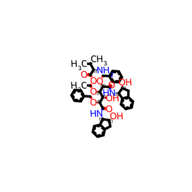 CC(OC(=O)[C@@H](N)C(C)C)O[C@H]([C@@H](O)[C@@H](OCc1ccccc1)C(=O)N[C@H]1c2ccccc2C[C@H]1O)[C@@H](OCc1ccccc1)C(=O)N[C@H]1c2ccccc2C[C@H]1O